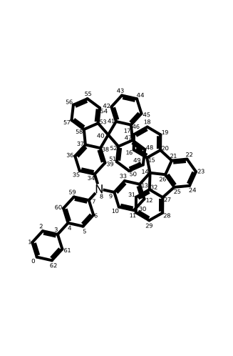 c1ccc(-c2ccc(N(c3cccc(C45c6ccccc6-c6cccc(c64)-c4ccccc45)c3)c3ccc4c(c3)C3(c5ccccc5-c5ccccc53)c3ccccc3-4)cc2)cc1